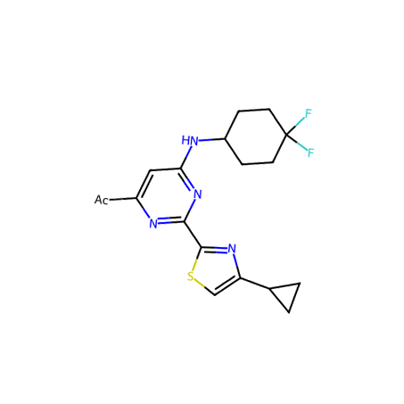 CC(=O)c1cc(NC2CCC(F)(F)CC2)nc(-c2nc(C3CC3)cs2)n1